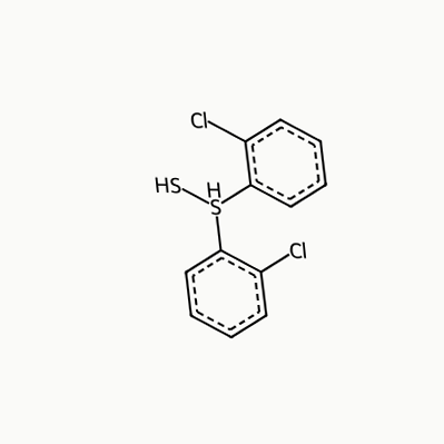 S[SH](c1ccccc1Cl)c1ccccc1Cl